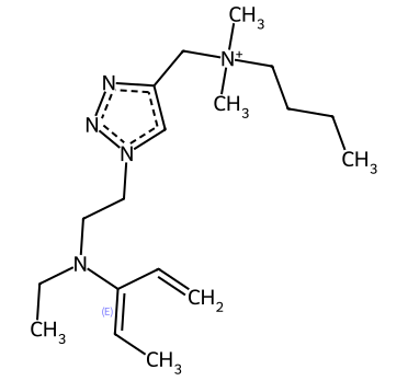 C=C/C(=C\C)N(CC)CCn1cc(C[N+](C)(C)CCCC)nn1